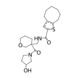 O=C(NCC1(C(=O)N2CCC(O)C2)CCCOC1)c1cc2c(s1)CCCCCC2